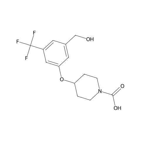 O=C(O)N1CCC(Oc2cc(CO)cc(C(F)(F)F)c2)CC1